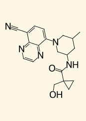 CC1CC(NC(=O)C2(CO)CC2)CN(c2ccc(C#N)c3nccnc23)C1